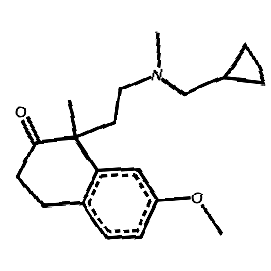 COc1ccc2c(c1)C(C)(CCN(C)CC1CC1)C(=O)CC2